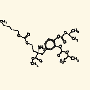 CCCCCOC(=O)OCC[C@@](N)(Cc1ccc(OC(=O)OC(C)C)c(OC(=O)OC(C)C)c1)C(=O)OC